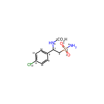 NS(=O)(=O)CC(NC(=O)O)c1ccc(Cl)cc1